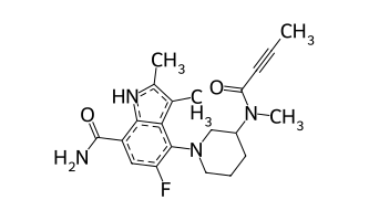 CC#CC(=O)N(C)C1CCCN(c2c(F)cc(C(N)=O)c3[nH]c(C)c(C)c23)C1